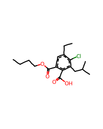 CCCCOC(=O)c1cc(CC)c(Cl)c(CC(C)C)c1C(=O)O